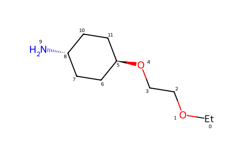 CCOCCO[C@H]1CC[C@H](N)CC1